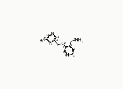 NCc1ccncc1OCc1cncc(Br)n1